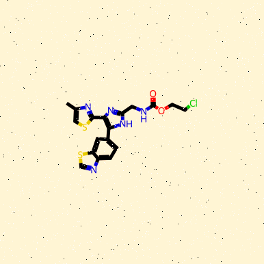 Cc1csc(-c2nc(CNC(=O)OCCCl)[nH]c2-c2ccc3ncsc3c2)n1